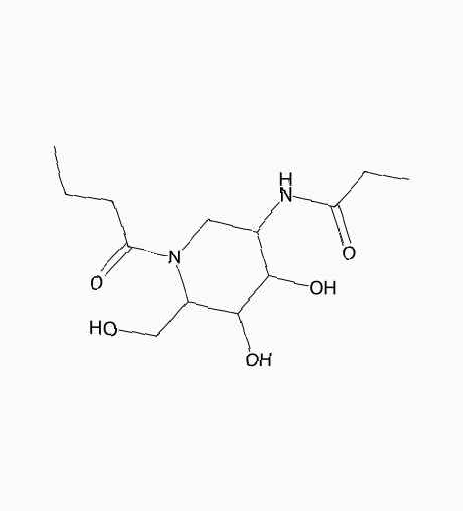 CCCC(=O)N1CC(NC(=O)CC)C(O)C(O)C1CO